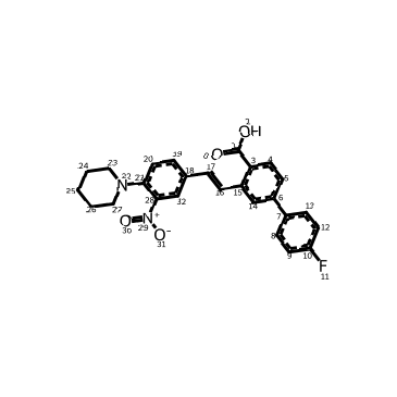 O=C(O)c1ccc(-c2ccc(F)cc2)cc1C=Cc1ccc(N2CCCCC2)c([N+](=O)[O-])c1